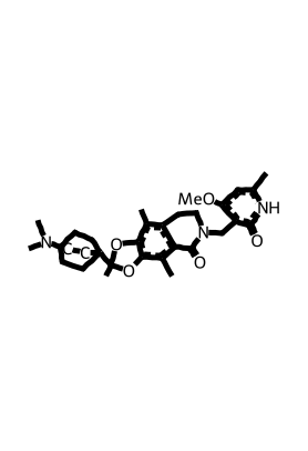 COc1cc(C)[nH]c(=O)c1CN1CCc2c(C)c3c(c(C)c2C1=O)OC(C)(C12CCC(N(C)C)(CC1)CC2)O3